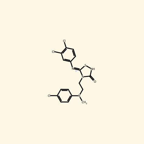 CN(CCn1c(=O)[nH]s/c1=N\c1ccc(Cl)c(Cl)c1)c1ccc(Cl)cc1